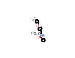 O=C(O)/C(=C\c1ccc(OCc2ccc(C(F)(F)F)cc2)cc1)NC(=O)c1ccccc1